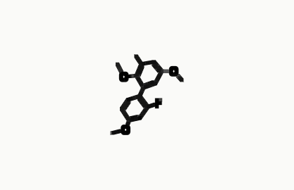 COc1ccc(-c2cc(OC)cc(C)c2OC)c(F)c1